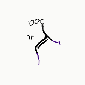 O=C([O-])C(I)=CI.[Tl+]